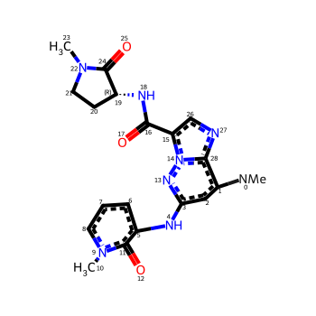 CNc1cc(Nc2cccn(C)c2=O)nn2c(C(=O)N[C@@H]3CCN(C)C3=O)cnc12